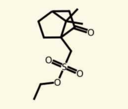 CCOS(=O)(=O)CC12CCC(CC1=O)C2(C)C